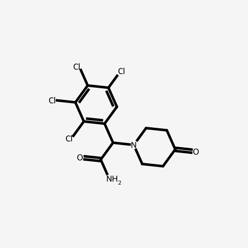 NC(=O)C(c1cc(Cl)c(Cl)c(Cl)c1Cl)N1CCC(=O)CC1